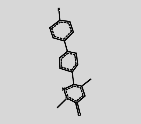 Cc1cc(=O)n(C)nc1-c1ccc(-c2ccc(F)cc2)cc1